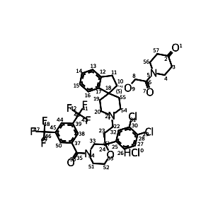 Cl.O=C1CCN(C(=O)CO[C@H]2Cc3ccccc3C23CCN(CC[C@]2(c4ccc(Cl)c(Cl)c4)CN(C(=O)c4cc(C(F)(F)F)cc(C(F)(F)F)c4)CCO2)CC3)CC1